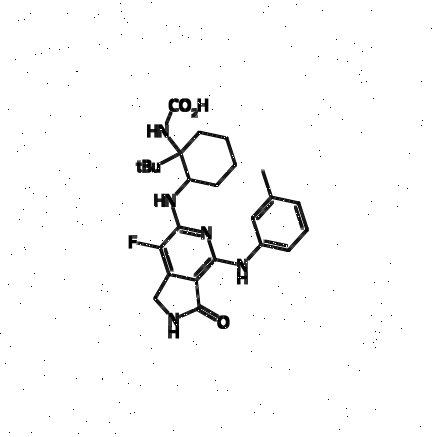 Cc1cccc(Nc2nc(NC3CCCCC3(NC(=O)O)C(C)(C)C)c(F)c3c2C(=O)NC3)c1